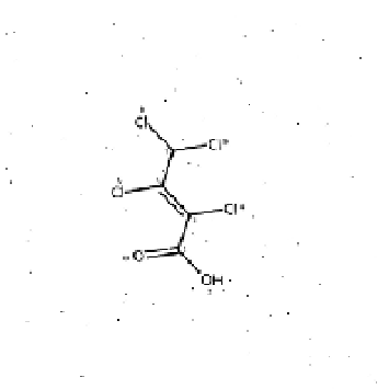 O=C(O)/C(Cl)=C(\Cl)C(Cl)Cl